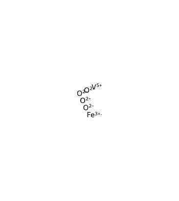 [Fe+3].[O-2].[O-2].[O-2].[O-2].[V+5]